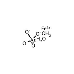 O.O.O=[As]([O-])([O-])[O-].[Fe+3]